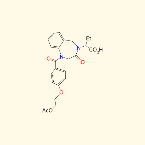 CCC(C(=O)O)N1Cc2ccccc2N(C(=O)c2ccc(OCCOC(C)=O)cc2)CC1=O